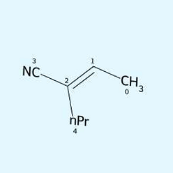 CC=C(C#N)CCC